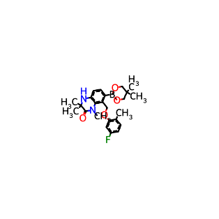 Cc1ccc(F)cc1OCc1c(B2OCC(C)(C)CO2)ccc2c1N(C)C(=O)C(C)(C)N2